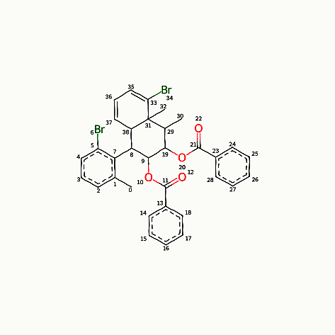 Cc1cccc(Br)c1C1C(OC(=O)c2ccccc2)C(OC(=O)c2ccccc2)C(C)C2(C)C(Br)=CC=CC12